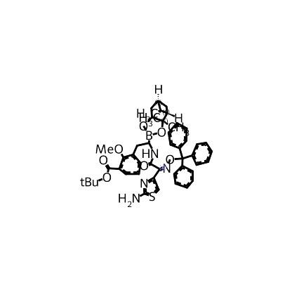 COc1c(CC(NC(=O)/C(=N\OC(c2ccccc2)(c2ccccc2)c2ccccc2)c2csc(N)n2)B2OC3C[C@H]4C[C@@H](C4(C)C)[C@]3(C)O2)cccc1C(=O)OC(C)(C)C